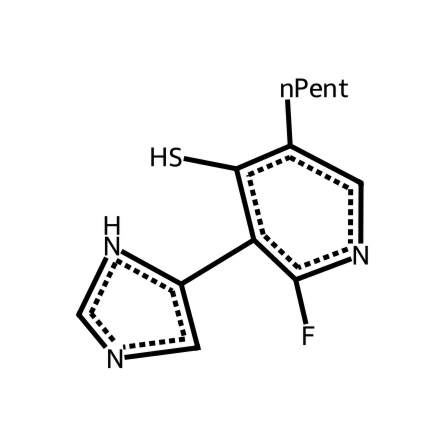 CCCCCc1cnc(F)c(-c2cnc[nH]2)c1S